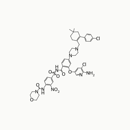 CC1(C)CCC(CN2CCN(c3ccc(C(=O)NS(=O)(=O)c4ccc(NC(=O)N5CCOCC5)c([N+](=O)[O-])c4)c(Oc4cnc(N)c(Cl)c4)c3)CC2)=C(c2ccc(Cl)cc2)C1